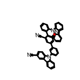 N#Cc1ccc2c(c1)c1ccccc1n2-c1cccc(-c2cc(C#N)c(-c3ccccc3-n3c4ccccc4c4ccccc43)c(C#N)c2)c1